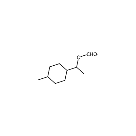 CC1CCC(C(C)O[C]=O)CC1